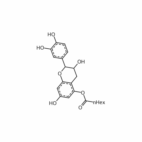 CCCCCCC(=O)Oc1cc(O)cc2c1CC(O)C(c1ccc(O)c(O)c1)O2